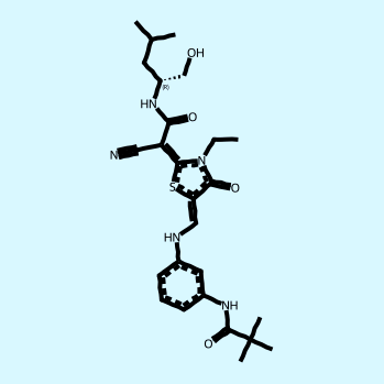 CCn1c(=C(C#N)C(=O)N[C@@H](CO)CC(C)C)sc(=CNc2cccc(NC(=O)C(C)(C)C)c2)c1=O